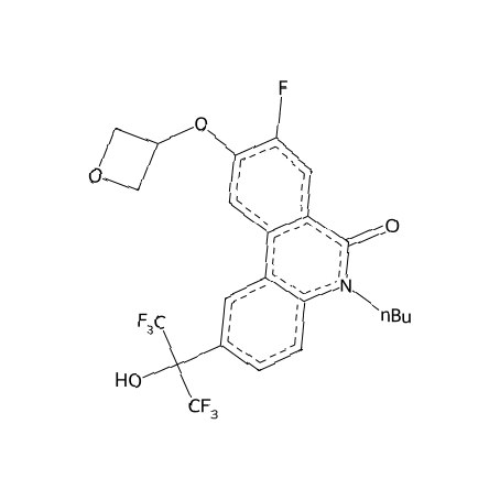 CCCCn1c(=O)c2cc(F)c(OC3COC3)cc2c2cc(C(O)(C(F)(F)F)C(F)(F)F)ccc21